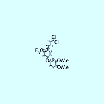 COc1ccc(Oc2ccc(OCC=C(Cl)Cl)c(C(F)(F)F)c2)cc1OC